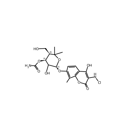 Cc1c(O[C@@H]2OC(C)(C)[C@H](CO)[C@H](OC(N)=O)C2O)ccc2c(O)c(NCl)c(=O)oc12